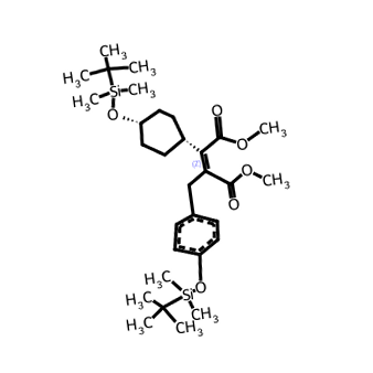 COC(=O)/C(Cc1ccc(O[Si](C)(C)C(C)(C)C)cc1)=C(\C(=O)OC)[C@H]1CC[C@@H](O[Si](C)(C)C(C)(C)C)CC1